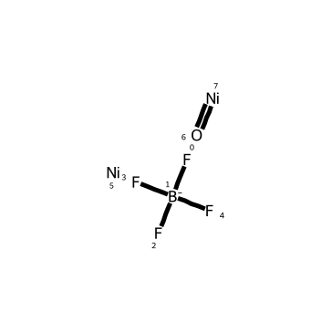 F[B-](F)(F)F.[Ni].[O]=[Ni]